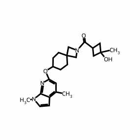 Cc1cc(OC2CCC3(CC2)CN(C(=O)C2CC(C)(O)C2)C3)nc2c1ccn2C